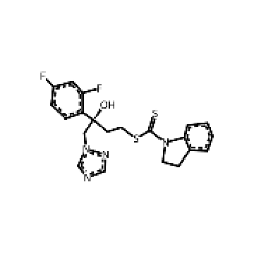 O[C@@](CCSC(=S)N1CCc2ccccc21)(Cn1cncn1)c1ccc(F)cc1F